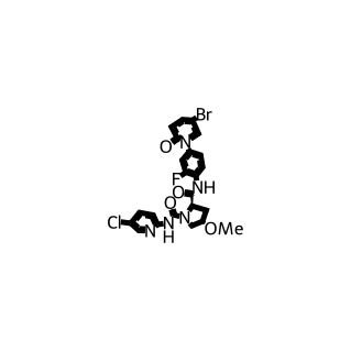 CO[C@@H]1C[C@H](C(=O)Nc2ccc(-n3cc(Br)ccc3=O)cc2F)N(C(=O)Nc2ccc(Cl)cn2)C1